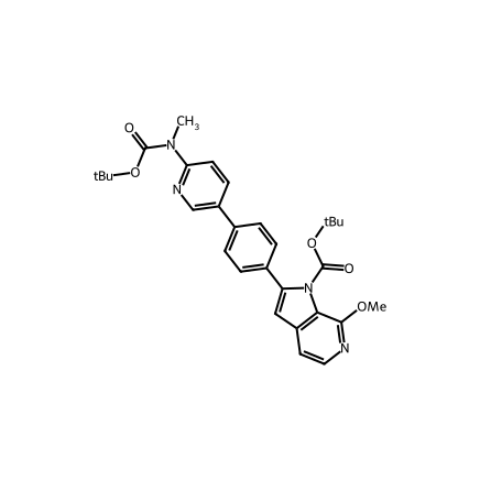 COc1nccc2cc(-c3ccc(-c4ccc(N(C)C(=O)OC(C)(C)C)nc4)cc3)n(C(=O)OC(C)(C)C)c12